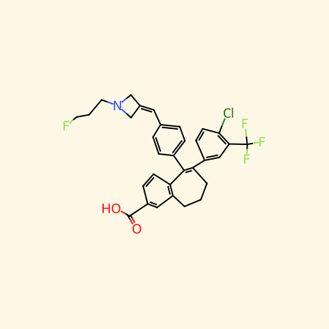 O=C(O)c1ccc2c(c1)CCCC(c1ccc(Cl)c(C(F)(F)F)c1)=C2c1ccc(C=C2CN(CCCF)C2)cc1